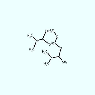 CO[SiH](OC(C)N(C)C)OC(C)N(C)C